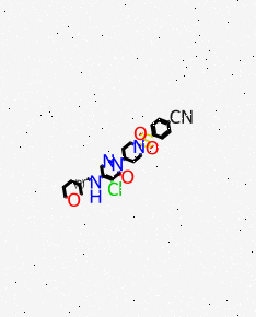 N#Cc1ccc(S(=O)(=O)N2CCC(n3ncc(NC[C@H]4CCCOC4)c(Cl)c3=O)CC2)cc1